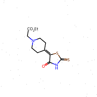 CCOC(=O)CN1CCC(=C2SC(=S)NC2=O)CC1